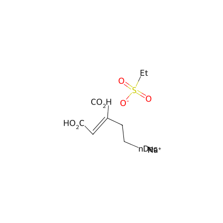 CCCCCCCCCCCC/C(=C/C(=O)O)C(=O)O.CCS(=O)(=O)[O-].[Na+]